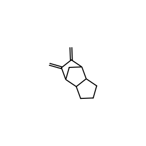 C=C1C(=C)C2CC1C1CCCC21